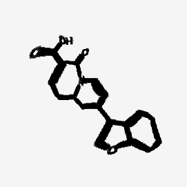 O=C(O)c1ccc2cc(-c3coc4ccccc34)ccn2c1=O